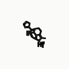 CC1=C2CCC3=C(C4=CC=CC4)C=CC(=C2C3C(C)C)[CH]1[Hf]